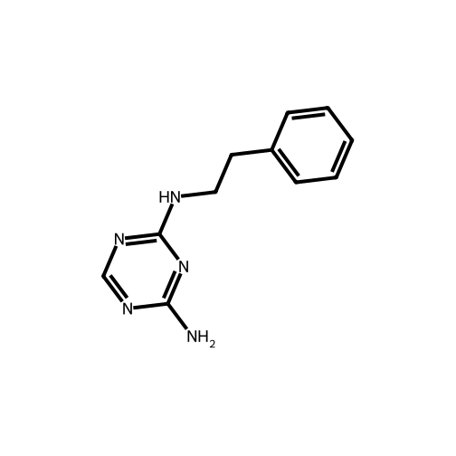 Nc1ncnc(NCCc2ccccc2)n1